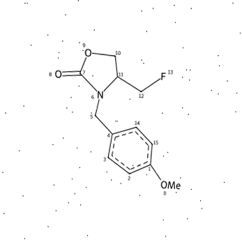 COc1ccc(CN2C(=O)OCC2CF)cc1